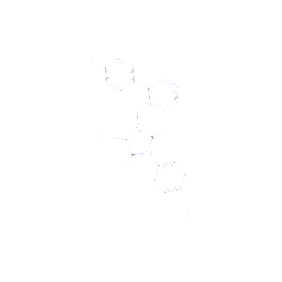 CC1C(=O)N(c2ccc(SC(F)(F)F)cc2)C(=O)N1Cc1ccncc1-c1ccc(Cl)cc1